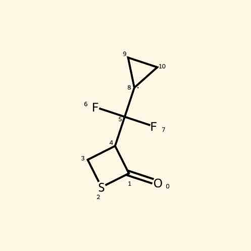 O=C1SCC1C(F)(F)[C]1CC1